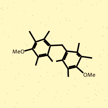 COc1c(C)c(C)c(Cc2c(C)c(C)c(OC)c(C)c2C)c(C)c1C